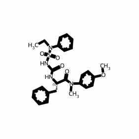 CCN(c1ccccc1)S(=O)(=O)NC(=O)N[C@@H](Cc1ccccc1)C(=O)N(C)c1ccc(OC)cc1